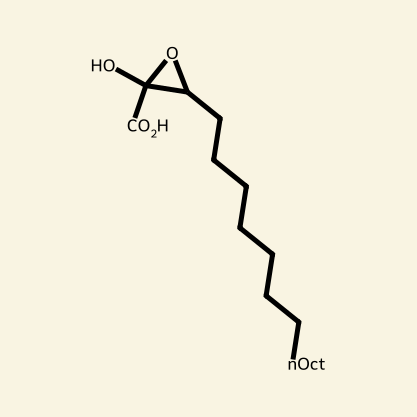 CCCCCCCCCCCCCCCC1OC1(O)C(=O)O